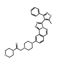 Cc1onc(-c2ccccc2)c1-c1nnc2c3cc(N4CCN(CC(=O)N5CCOCC5)CC4)ccc3cnn12